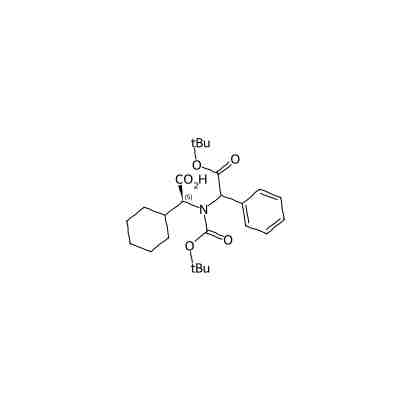 CC(C)(C)OC(=O)C(c1ccccc1)N(C(=O)OC(C)(C)C)[C@H](C(=O)O)C1CCCCC1